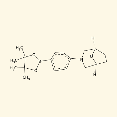 CC1(C)OB(c2ccc(N3C[C@H]4CC[C@@H](C3)O4)cc2)OC1(C)C